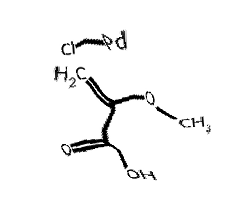 C=C(OC)C(=O)O.[Cl][Pd]